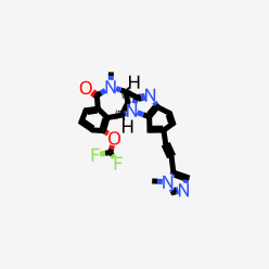 CN1C(=O)c2cccc(OC(F)F)c2[C@H]2C[C@@H]1c1nc3ccc(C#Cc4cncn4C)cc3n12